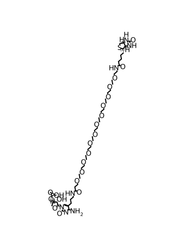 Nc1nc(=O)n([C@@H]2OC[C@H](O[PH](=O)O)C2O)cc1CCCNC(=O)CCOCCOCCOCCOCCOCCOCCOCCOCCOCCOCCOCCOCCNC(=O)CCCC[C@@H]1SC[C@@H]2NC(=O)N[C@@H]21